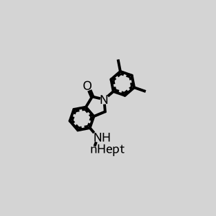 CCCCCCCNc1cccc2c1CN(c1cc(C)cc(C)c1)C2=O